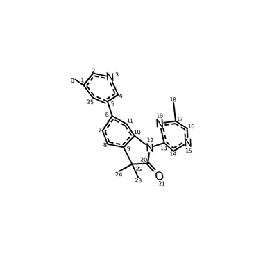 Cc1cncc(-c2ccc3c(c2)N(c2cncc(C)n2)C(=O)C3(C)C)c1